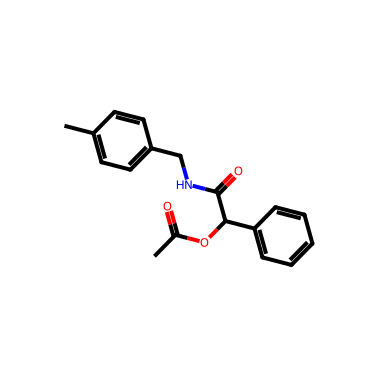 CC(=O)OC(C(=O)NCc1ccc(C)cc1)c1ccccc1